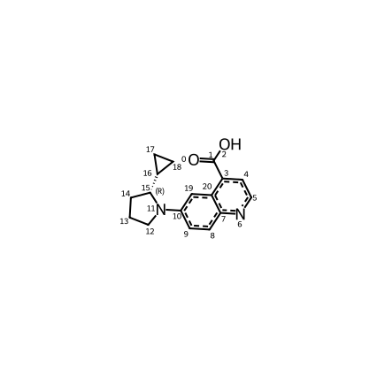 O=C(O)c1ccnc2ccc(N3CCC[C@@H]3C3CC3)cc12